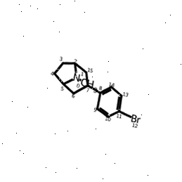 CN1C2CCC1CC(c1ccc(Br)cc1)C2